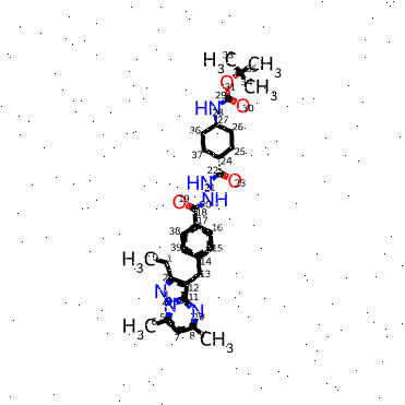 CCc1nn2c(C)cc(C)nc2c1Cc1ccc(C(=O)NNC(=O)[C@H]2CC[C@H](NC(=O)OC(C)(C)C)CC2)cc1